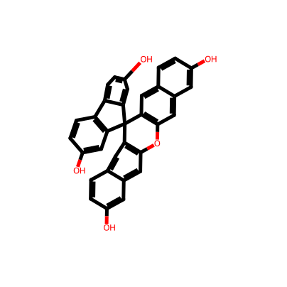 Oc1ccc2c(c1)C1(c3cc4ccc(O)cc4cc3Oc3cc4cc(O)ccc4cc31)c1cc(O)ccc1-2